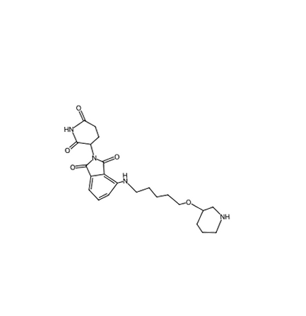 O=C1CCC(N2C(=O)c3cccc(NCCCCCOC4CCCNC4)c3C2=O)C(=O)N1